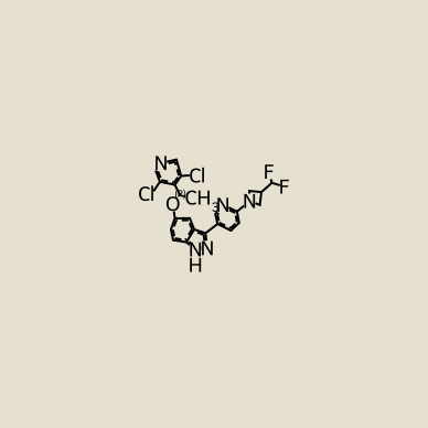 C[C@@H](Oc1ccc2[nH]nc(-c3ccc(N4CC(C(F)F)C4)nc3)c2c1)c1c(Cl)cncc1Cl